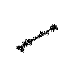 O=C(CCCC[C@@H]1SC[C@@H]2NC(=O)N[C@@H]21)NCCCOCCOCCOCCCNC(=O)CC[C@H](NC(=O)OCC1c2ccccc2-c2ccccc21)C(=O)O